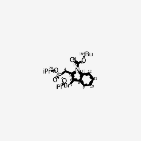 CC(C)OP(=O)(Cc1c(Br)c2ccccc2n1C(=O)OC(C)(C)C)OC(C)C